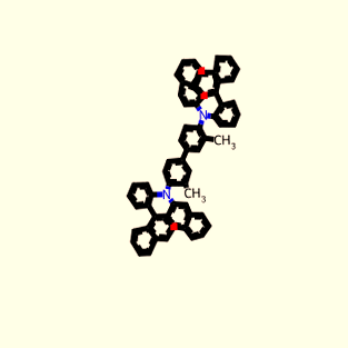 Cc1cc(-c2ccc(N(c3ccc4ccccc4c3)c3ccccc3-c3cccc4ccccc34)c(C)c2)ccc1N(c1ccc2ccccc2c1)c1ccccc1-c1cccc2ccccc12